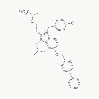 CCOC(=O)C(C)OCCc1c2c3c(c(OCc4ccc(-c5ccccc5)cn4)ccc3n1Cc1ccc(Cl)cc1)CC(C)S2